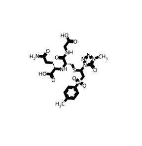 Cc1ccc(S(=O)(=O)CC(SC[C@H](N[C@@H](CCC(N)=O)C(=O)O)C(=O)NCC(=O)O)n2nnn(C)c2=O)cc1